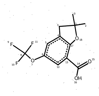 CC1(C)Cc2cc(OC(F)(F)F)cc(C(=O)O)c2O1